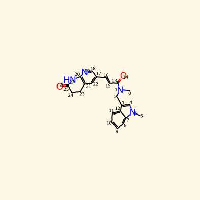 CN(Cc1cn(C)c2ccccc12)C(=O)C=Cc1cnc2c(c1)CCC(=O)N2